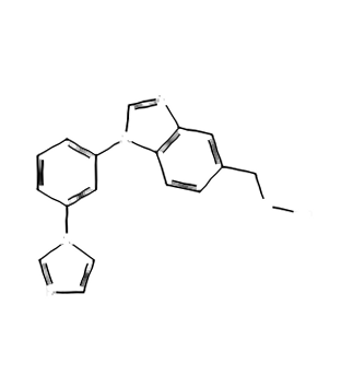 CCCOCc1ccc2c(c1)ncn2-c1cccc(-n2ccnc2)c1